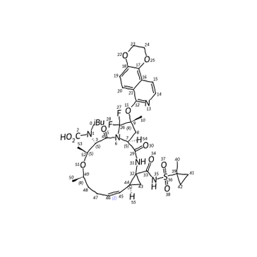 CCC(C)N(C(=O)O)[C@@H]1C(=O)N2[C@@H](C[C@@](C)(Oc3nccc4c5c(ccc34)OCCO5)C2(F)F)C(=O)NC2(C(=O)NS(=O)(=O)C3(C)CC3)C[C@H]2/C=C\CC[C@@H](C)O[C@H]1C